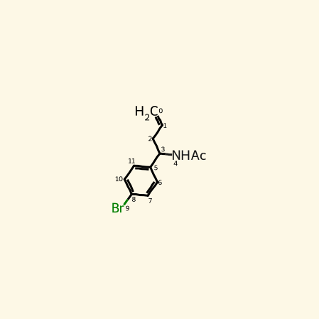 C=CCC(NC(C)=O)c1ccc(Br)cc1